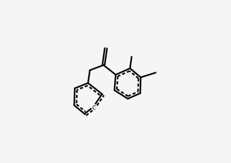 C=C(Cc1ccccc1)c1cccc(C)c1C